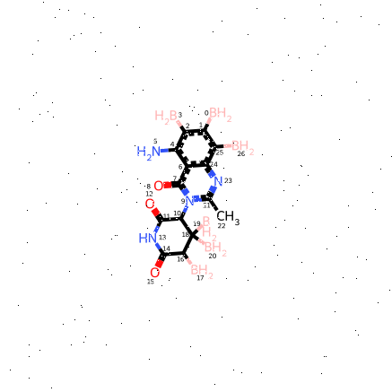 Bc1c(B)c(N)c2c(=O)n(C3C(=O)NC(=O)C(B)C3(B)B)c(C)nc2c1B